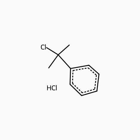 CC(C)(Cl)c1ccccc1.Cl